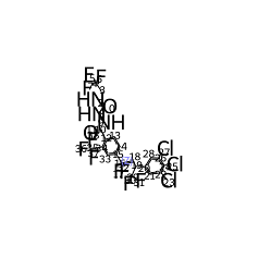 O=C(NCC(F)(F)F)NNC(=O)c1ccc(/C(F)=C/C(c2cc(Cl)c(Cl)c(Cl)c2)C(F)(F)F)cc1C(F)(F)F